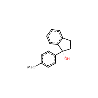 COc1ccc([C@]2(O)CCc3ccccc32)cc1